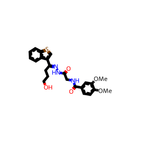 COc1ccc(C(=O)NCC(=O)N/N=C(\CCCO)c2csc3ccccc23)cc1OC